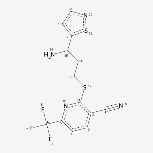 N#Cc1ccc(C(F)(F)F)nc1SCCC(N)c1ccns1